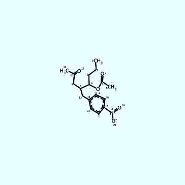 CCCC(OC(C)=O)C(CC(C)=O)Cc1ccc([N+](=O)[O-])cc1